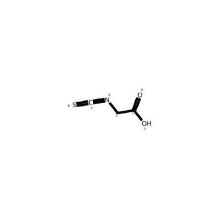 O=C(O)CN=C=S